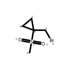 CS(=O)(=O)C1(CBr)CC1